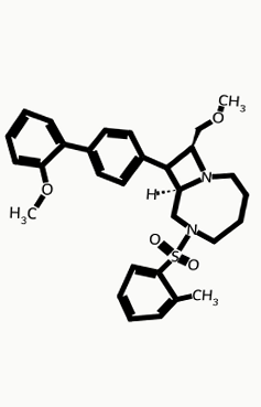 COC[C@@H]1C(c2ccc(-c3ccccc3OC)cc2)[C@@H]2CN(S(=O)(=O)c3ccccc3C)CCCCN12